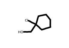 OCC1(Cl)CCCCC1